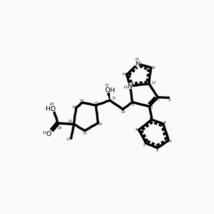 CC1=C(c2ccccc2)C(C[C@H](O)C2CCC(C)(C(=O)O)CC2)n2cncc21